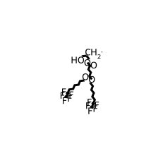 [CH2]C(CO)COC(=O)CCC(OCCCCCCC(F)(F)C(F)(F)F)OCCCCCCC(F)(F)C(F)(F)F